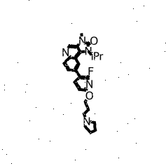 CC(C)n1c(=O)n(C)c2cnc3ccc(-c4ccc(OCCCN5CCCC5)nc4F)cc3c21